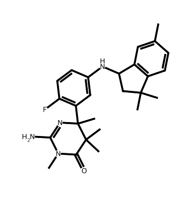 Cc1ccc2c(c1)C(Nc1ccc(F)c(C3(C)N=C(N)N(C)C(=O)C3(C)C)c1)CC2(C)C